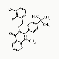 CNc1ccccc1C(=O)N(CCc1cccc(Cl)c1F)Cc1ccc(C(C)(C)C)cc1